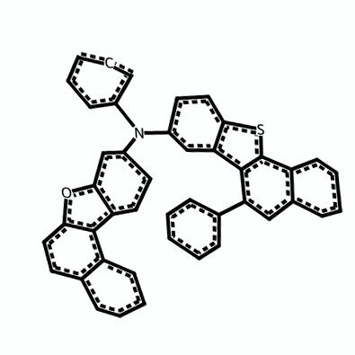 c1ccc(-c2cc3ccccc3c3sc4ccc(N(c5ccccc5)c5ccc6c(c5)oc5ccc7ccccc7c56)cc4c23)cc1